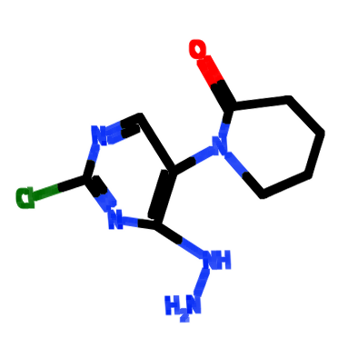 NNc1nc(Cl)ncc1N1CCCCC1=O